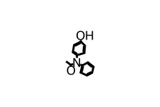 CC(=O)N(c1ccccc1)c1ccc(O)cc1